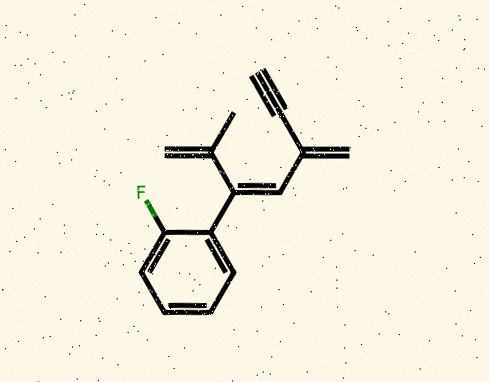 C#CC(=C)/C=C(\C(=C)C)c1ccccc1F